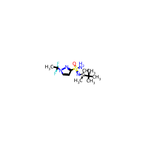 CC(F)(F)n1ccc(S(N)(=O)=N[Si](C)(C)C(C)(C)C)n1